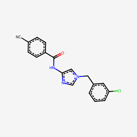 N#Cc1ccc(C(=O)Nc2cn(Cc3cccc(Cl)c3)cn2)cc1